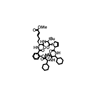 COC(=O)/C=C/CC[C@H](NC(=O)c1ccccc1C(=O)O)C(=O)N[C@H](C(=O)N1CC=C[C@H]1C(=O)N[C@H](C(=O)N[C@H](C(N)=O)C1CCCCC1)C1CCCCC1)C(C)(C)C